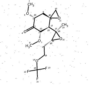 CO[C@@H]1C(=O)[C@H](OC)C[C@]2(CO2)[C@H]1[C@@]1(C)O[C@@H]1CCOC(F)(F)F